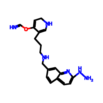 N=COC1=CCNC=C1CCCNCc1ccc2ccc(NN)nc2c1